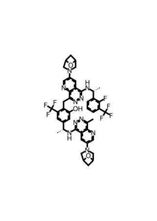 Cc1nnc(N[C@H](C)c2cc(O)c(Cc3nnc(N[C@H](C)c4cccc(C(F)(F)F)c4F)c4cc(N5CC6CC(C5)O6)cnc34)c(C(F)(F)F)c2)c2cc(N3CC4CC(C3)O4)cnc12